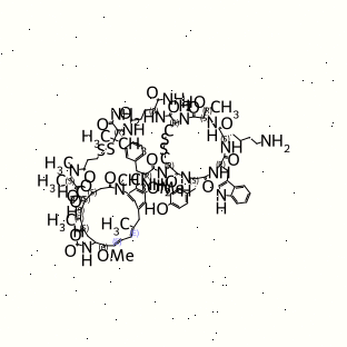 COc1cc2cc(c1Cl)N(C)C(=O)C[C@H](OC(=O)[C@H](C)N(C)C(=O)CCSSC(C)(C)[C@H](NC(=O)CC[C@H](NC(=O)[C@@H]1CSSC[C@H](NC(=O)[C@H](N)Cc3ccccc3)C(=O)N[C@@H](Cc3ccc(O)cc3)C(=O)N[C@H](Cc3c[nH]c4ccccc34)C(=O)N[C@@H](CCCCN)C(=O)N[C@@H]([C@@H](C)O)C(=O)N1)C(N)=O)C(N)=O)[C@]1(C)O[C@H]1[C@H](C)[C@@H]1CC(NC(=O)O1)[C@H](OC)/C=C/C=C(\C)C2